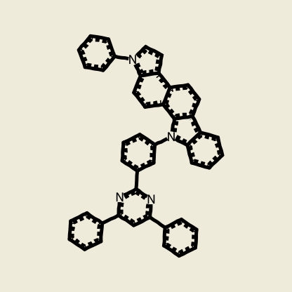 c1ccc(-c2cc(-c3ccccc3)nc(-c3cccc(-n4c5ccccc5c5ccc6c7ccn(-c8ccccc8)c7ccc6c54)c3)n2)cc1